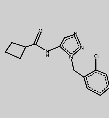 O=C(Nc1cnnn1Cc1ccccc1Cl)C1CCC1